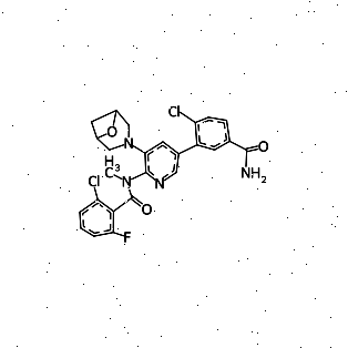 CN(C(=O)c1c(F)cccc1Cl)c1ncc(-c2cc(C(N)=O)ccc2Cl)cc1N1CC2CC(C1)O2